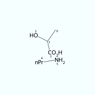 CC(O)C(=O)O.CCCN